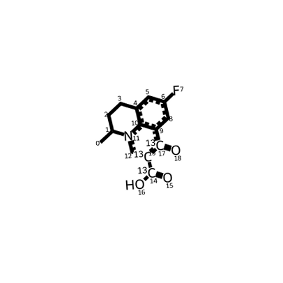 CC1CCc2cc(F)cc3c2n1c[13c]([13C](=O)O)[13c]3=O